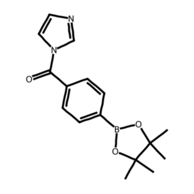 CC1(C)OB(c2ccc(C(=O)n3ccnc3)cc2)OC1(C)C